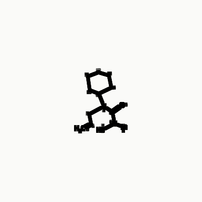 C=CCN(C(=O)N(S)CC)C1CCCCC1